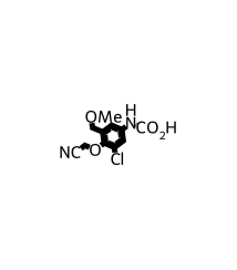 COCc1cc(NC(=O)O)cc(Cl)c1OCC#N